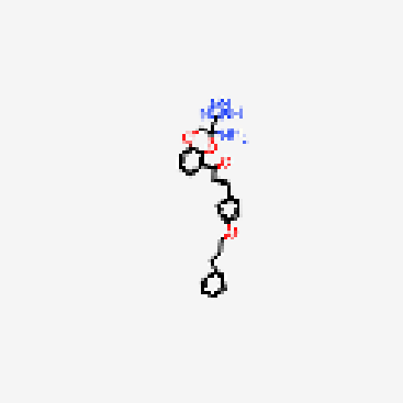 NC1(c2nnn[nH]2)COc2cccc(C(=O)C=Cc3ccc(OCCCc4ccccc4)cc3)c2O1